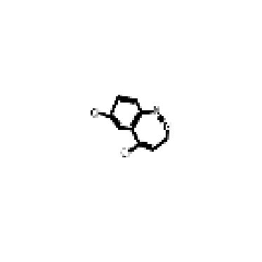 ClC1=CCN=Nc2ccc(Cl)cc21